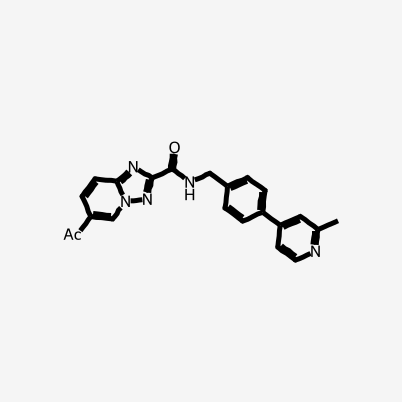 CC(=O)c1ccc2nc(C(=O)NCc3ccc(-c4ccnc(C)c4)cc3)nn2c1